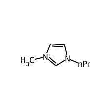 [CH2]CCn1cc[n+](C)c1